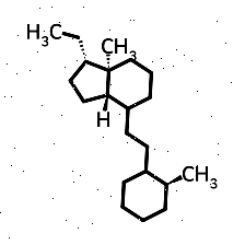 CC[C@H]1CC[C@H]2C(CCC3CCCC[C@@H]3C)CCC[C@]12C